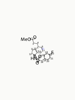 COC(=O)CCC/C=C\CC1=CCC[C@@H]1NS(=O)(=O)Cc1ccc(F)cc1